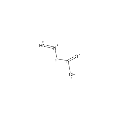 N=NCC(=O)O